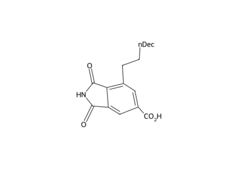 CCCCCCCCCCCCc1cc(C(=O)O)cc2c1C(=O)NC2=O